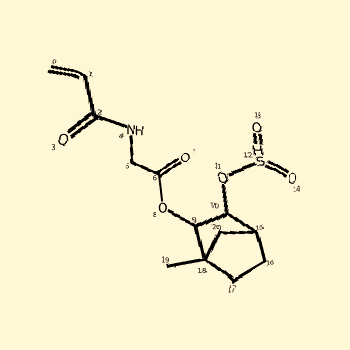 C=CC(=O)NCC(=O)OC1C(O[SH](=O)=O)C2CCC1(C)C2